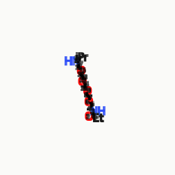 CCC(=O)NCCOCCOCCOCCOCCNC(C)C